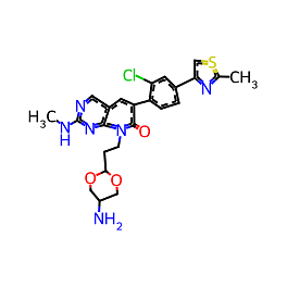 CNc1ncc2cc(-c3ccc(-c4csc(C)n4)cc3Cl)c(=O)n(CCC3OCC(N)CO3)c2n1